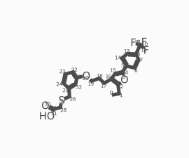 CCc1oc(-c2ccc(C(F)(F)F)cc2)cc1CCCOc1cccc(CSCC(=O)O)c1